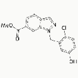 COC(=O)c1ccc2cnn(Cc3cc(O)ccc3Cl)c2c1